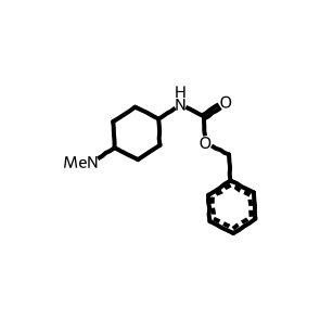 CNC1CCC(NC(=O)OCc2ccccc2)CC1